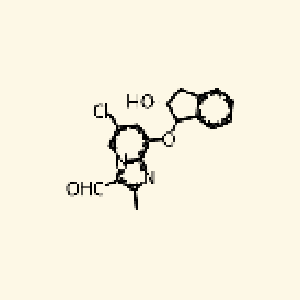 Cc1nc2c(O[C@@H]3c4ccccc4C[C@H]3O)cc(Cl)cn2c1C=O